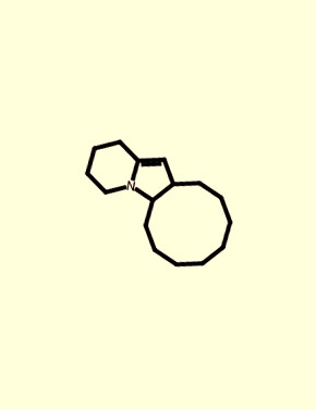 C1=C2CCCCN2C2CCCCCCCCC12